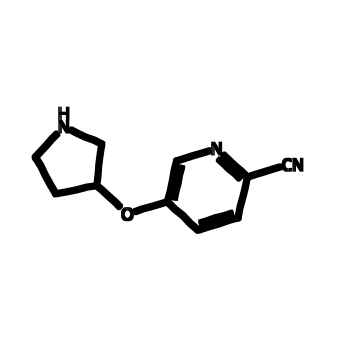 N#Cc1ccc(OC2CCNC2)cn1